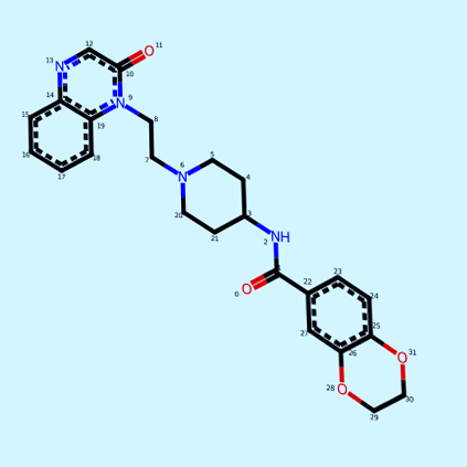 O=C(NC1CCN(CCn2c(=O)cnc3ccccc32)CC1)c1ccc2c(c1)OCCO2